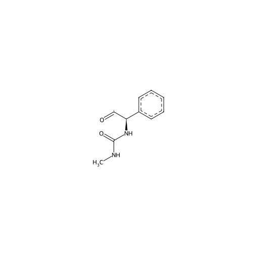 CNC(=O)N[C@@H]([C]=O)c1ccccc1